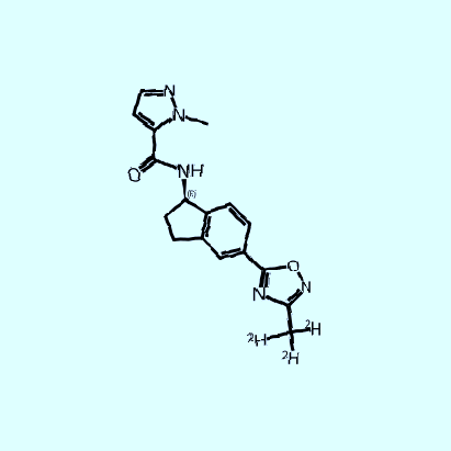 [2H]C([2H])([2H])c1noc(-c2ccc3c(c2)CC[C@H]3NC(=O)c2ccnn2C)n1